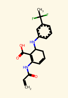 C=CC(=O)NC1=C(C(=O)O)C(Nc2cccc(C(C)(F)F)c2)CC=C1